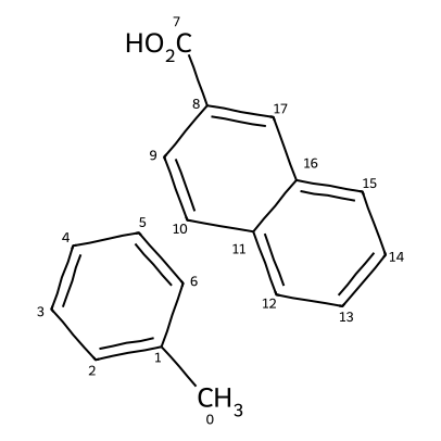 Cc1ccccc1.O=C(O)c1ccc2ccccc2c1